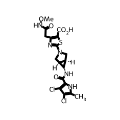 CONC(=O)Cc1nc(N2C[C@@H]3[C@H](C2)[C@H]3NC(=O)c2[nH]c(C)c(Cl)c2Cl)sc1C(=O)O